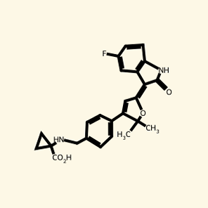 CC1(C)OC(=C2C(=O)Nc3ccc(F)cc32)C=C1c1ccc(CNC2(C(=O)O)CC2)cc1